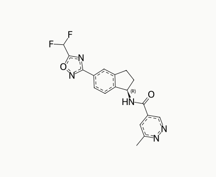 Cc1cc(C(=O)N[C@@H]2CCc3cc(-c4noc(C(F)F)n4)ccc32)cnn1